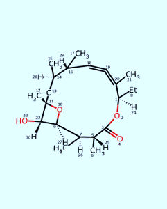 CC[C@H]1OC(=O)[C@H](C)[C@@H](C)[C@@H]2O[C@@](C)(C[C@@H](C)[C@H](C)C=C=C1C)[C@H]2O